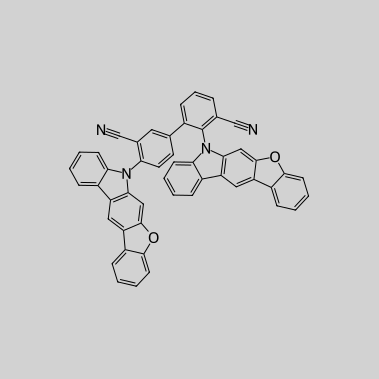 N#Cc1cc(-c2cccc(C#N)c2-n2c3ccccc3c3cc4c(cc32)oc2ccccc24)ccc1-n1c2ccccc2c2cc3c(cc21)oc1ccccc13